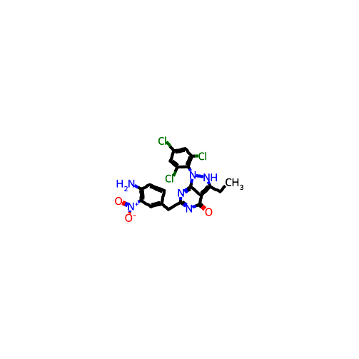 CCc1[nH]n(-c2c(Cl)cc(Cl)cc2Cl)c2nc(Cc3ccc(N)c([N+](=O)[O-])c3)nc(=O)c1-2